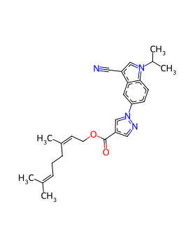 CC(C)=CCCC(C)=CCOC(=O)c1cnn(-c2ccc3c(c2)c(C#N)cn3C(C)C)c1